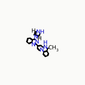 CC(Nc1cc(-c2nc(N3C[C@@H]4C[C@H]3CN4)c3ccccc3n2)ccn1)c1ccccc1